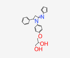 OCC(O)COc1ccc(N2/C(=N/C3=C=CC=C3)CC2c2ccccc2)cc1